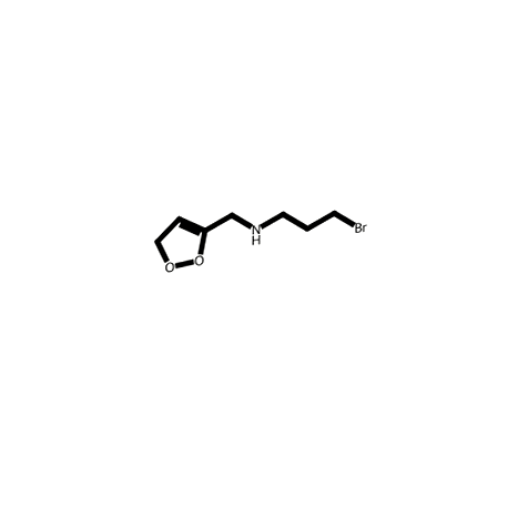 BrCCCNCC1=CCOO1